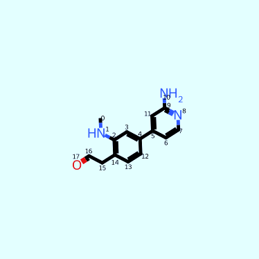 CNc1cc(-c2ccnc(N)c2)ccc1CC=O